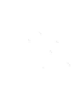 NCCc1nc2cnc3c(ccn3S(=O)(=O)c3ccccc3)c2n1C1CC2CCC1C2